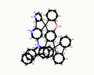 c1ccc(-c2ccc3c(c2)-c2cc4c(cc2C32c3ccccc3-c3ccccc32)Oc2ccccc2C42c3cccnc3-c3ncc(-n4c5ccccc5c5ccccc54)cc32)cc1